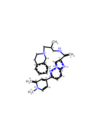 C=C(NCC(C)CN1CCc2ccccc2C1)c1cn2nc(C3=CC(=C)N(C)C=C3)ccc2n1